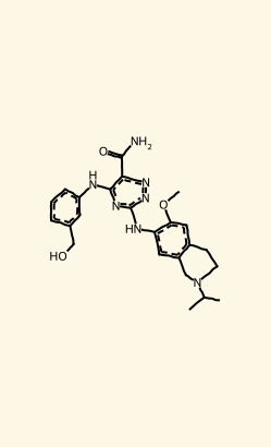 COc1cc2c(cc1Nc1nnc(C(N)=O)c(Nc3cccc(CO)c3)n1)CN(C(C)C)CC2